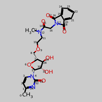 Cc1ccn([C@@H]2O[C@H](COCCN(C)C(=O)CN3C(=O)c4ccccc4C3=O)C(O)[C@@H]2O)c(=O)n1